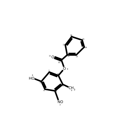 Cc1c(N=O)cc(O)cc1OC(=O)c1ccccc1